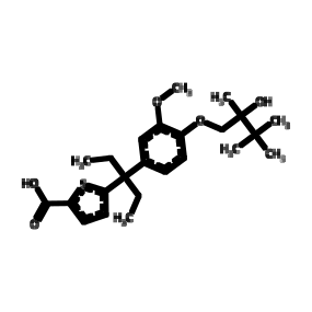 CCC(CC)(c1ccc(OCC(C)(O)C(C)(C)C)c(OC)c1)c1ccc(C(=O)O)s1